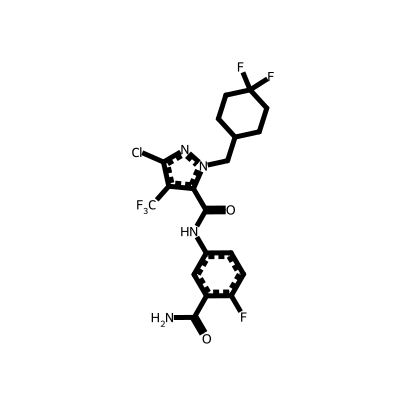 NC(=O)c1cc(NC(=O)c2c(C(F)(F)F)c(Cl)nn2CC2CCC(F)(F)CC2)ccc1F